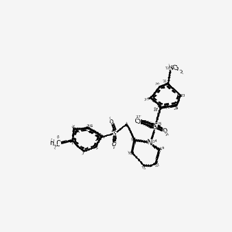 Cc1ccc(S(=O)(=O)CC2CCCCN2S(=O)(=O)c2ccc([N+](=O)[O-])cc2)cc1